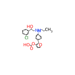 CCCN(NC[C@H](O)c1cccc(Cl)c1)c1ccc(-c2occc2OC(=O)O)cc1